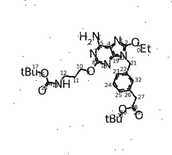 CCOc1nc2c(N)nc(OCCCNC(=O)OC(C)(C)C)nc2n1Cc1cccc(CC(=O)OC(C)(C)C)c1